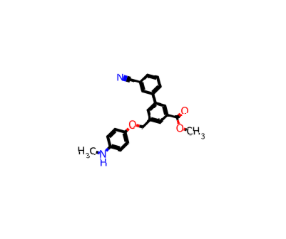 CNc1ccc(OCc2cc(C(=O)OC)cc(-c3cccc(C#N)c3)c2)cc1